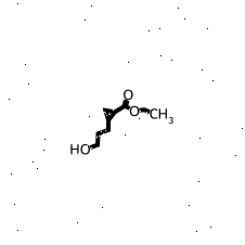 CCOC(=O)C1CC1CCCO